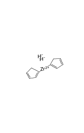 C1=CC[C]([Zr+2][C]2=CC=CC2)=C1.[H-].[H-]